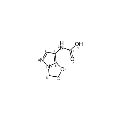 O=C(O)Nc1cnn2c1OCC2